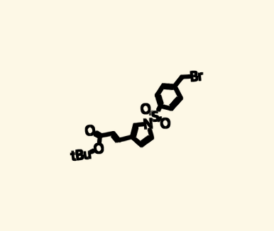 CC(C)(C)OC(=O)C=Cc1ccn(S(=O)(=O)c2ccc(CBr)cc2)c1